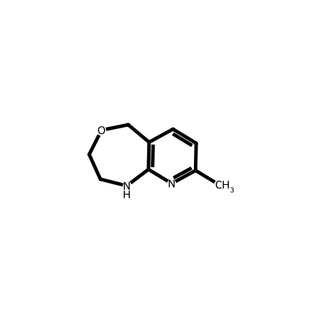 Cc1ccc2c(n1)NCCOC2